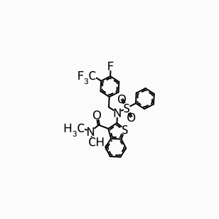 CN(C)C(=O)c1c(N(Cc2ccc(F)c(C(F)(F)F)c2)S(=O)(=O)c2ccccc2)sc2ccccc12